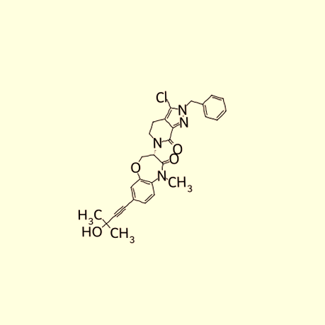 CN1C(=O)[C@@H](N2CCc3c(nn(Cc4ccccc4)c3Cl)C2=O)COc2cc(C#CC(C)(C)O)ccc21